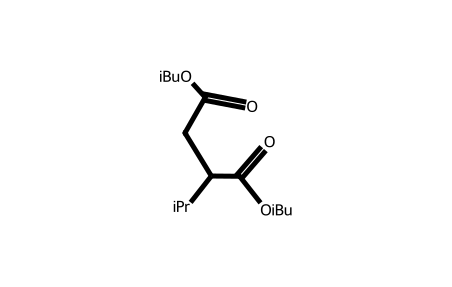 CC(C)COC(=O)CC(C(=O)OCC(C)C)C(C)C